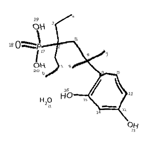 CCC(CC)(CC(C)(C)c1ccc(O)cc1O)P(=O)(O)O.O